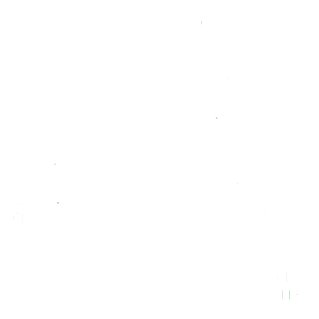 Br.Clc1ccc(P(c2ccc(Cl)cc2)c2ccc(Cl)cc2)cc1